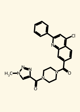 Cn1cc(C(=O)N2CCN(C(=O)c3ccc4c(Cl)cc(-c5ccccc5)nc4c3)CC2)nn1